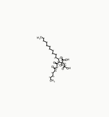 CCCCCCCCCCCCC(C(=O)OC(=O)CCCCC)C(O)(CC(=O)O)C(=O)O